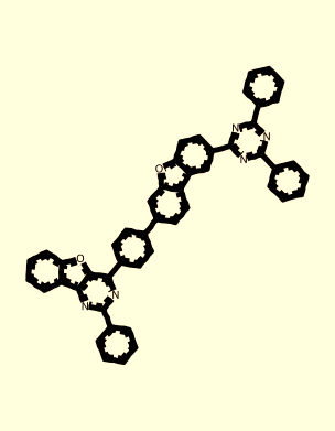 c1ccc(-c2nc(-c3ccccc3)nc(-c3ccc4oc5cc(-c6ccc(-c7nc(-c8ccccc8)nc8c7oc7ccccc78)cc6)ccc5c4c3)n2)cc1